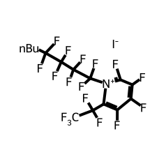 CCCCC(F)(F)C(F)(F)C(F)(F)C(F)(F)[n+]1c(F)c(F)c(F)c(F)c1C(F)(F)C(F)(F)F.[I-]